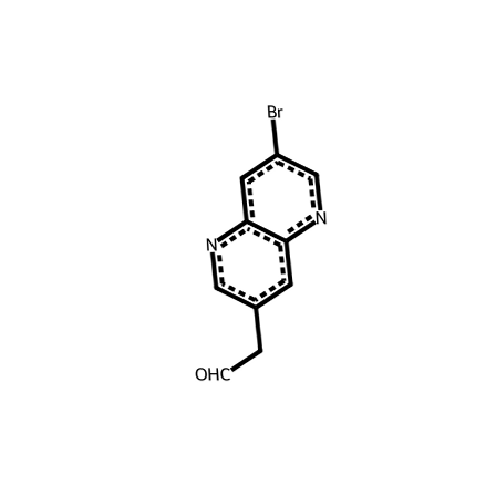 O=CCc1cnc2cc(Br)cnc2c1